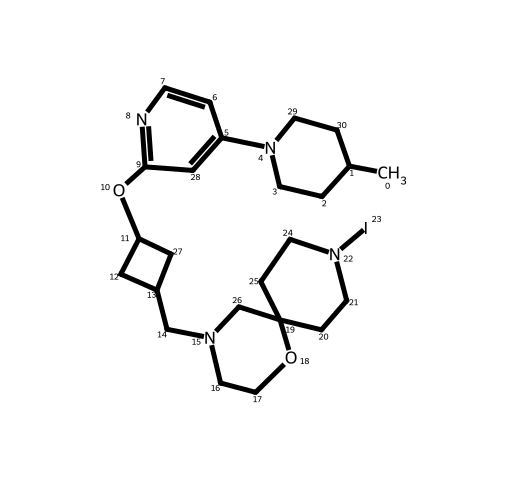 CC1CCN(c2ccnc(OC3CC(CN4CCOC5(CCN(I)CC5)C4)C3)c2)CC1